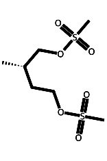 C[C@@H](CCOS(C)(=O)=O)COS(C)(=O)=O